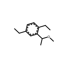 CCc1ccc(CC)c(C(C)OC)c1